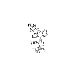 CC(C)C(C)(C)[SiH2]C1CCN([C@@H](c2cnc(C3(C(N)=O)CC3)s2)c2ccccc2Cl)C1O